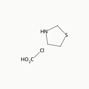 C1CSCN1.O=C(O)Cl